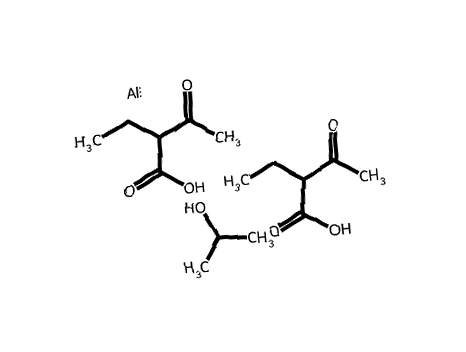 CC(C)O.CCC(C(C)=O)C(=O)O.CCC(C(C)=O)C(=O)O.[Al]